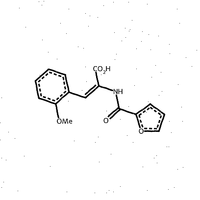 COc1ccccc1/C=C(/NC(=O)c1ccco1)C(=O)O